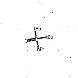 [CH2]CCP(=O)(C(C)(C)C)C(C)(C)C